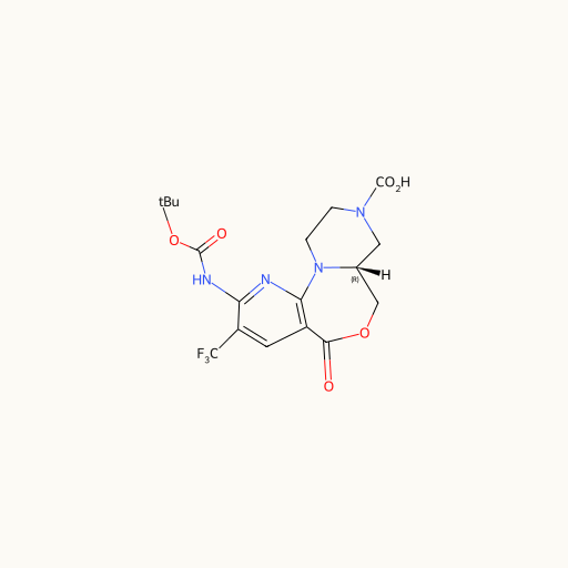 CC(C)(C)OC(=O)Nc1nc2c(cc1C(F)(F)F)C(=O)OC[C@H]1CN(C(=O)O)CCN21